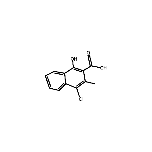 Cc1c(C(=O)O)c(O)c2ccccc2c1Cl